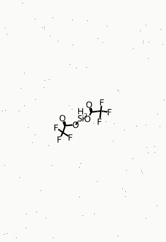 O=C(O[SiH2]OC(=O)C(F)(F)F)C(F)(F)F